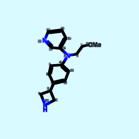 COCCN(c1ccc(C2CNC2)cc1)c1cccnc1